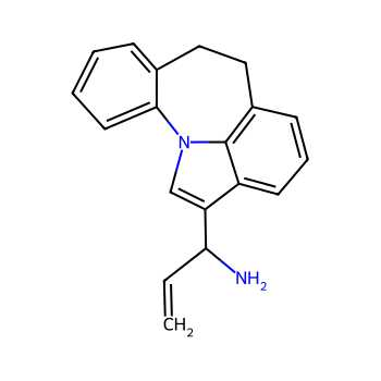 C=CC(N)c1cn2c3c(cccc13)CCc1ccccc1-2